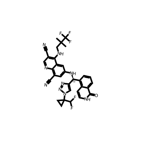 CC(C)(CNc1c(C#N)cnc2c(C#N)cc(N[C@H](c3cn(C4(C(F)F)CC4)nn3)c3cccc4c(=O)[nH]ccc34)cc12)C(F)(F)F